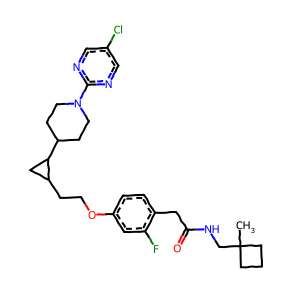 CC1(CNC(=O)Cc2ccc(OCCC3CC3C3CCN(c4ncc(Cl)cn4)CC3)cc2F)CCC1